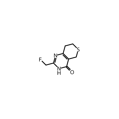 O=c1[nH]c(CF)nc2c1CSCC2